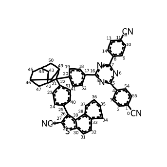 N#Cc1ccc(-c2nc(-c3ccc(C#N)cc3)nc(-c3ccc(C4(c5ccc(-c6c(C#N)sc7ccc8ccccc8c67)cc5)C5CC6CC(C5)CC4C6)cc3)n2)cc1